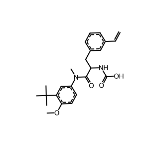 C=Cc1cccc(CC(NC(=O)O)C(=O)N(C)c2ccc(OC)c(C(C)(C)C)c2)c1